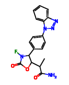 CC(C(N)=O)C1OC(=O)N(F)C1c1ccc(-n2nnc3ccccc32)cc1